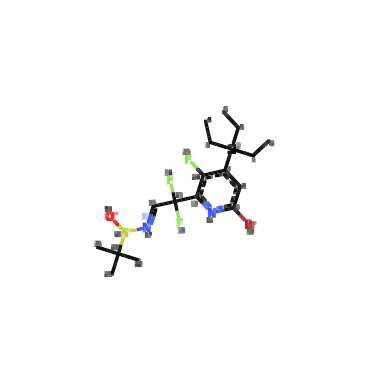 CC[Si](CC)(CC)c1cc(Br)nc(C(F)(F)/C=N/[S+]([O-])C(C)(C)C)c1F